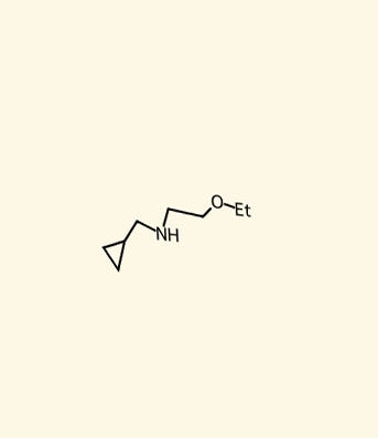 CCOCCNCC1CC1